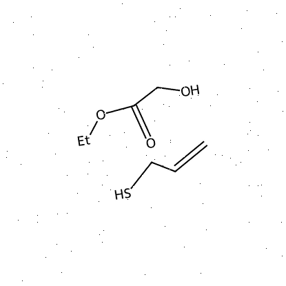 C=CCS.CCOC(=O)CO